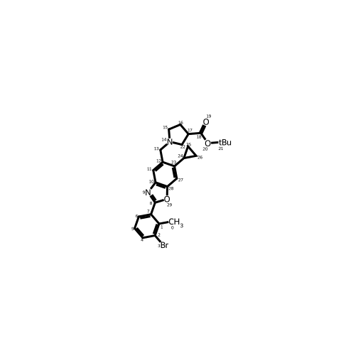 Cc1c(Br)cccc1-c1nc2cc(CN3CCC(C(=O)OC(C)(C)C)C3)c(C3CC3)cc2o1